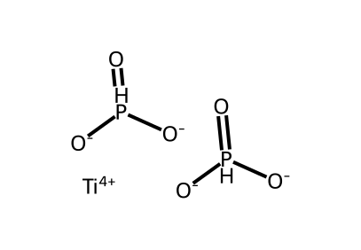 O=[PH]([O-])[O-].O=[PH]([O-])[O-].[Ti+4]